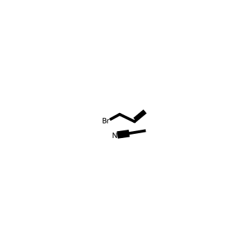 C=CCBr.CC#N